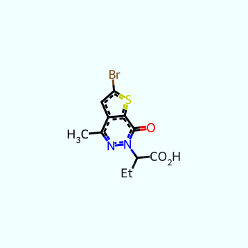 CCC(C(=O)O)n1nc(C)c2cc(Br)sc2c1=O